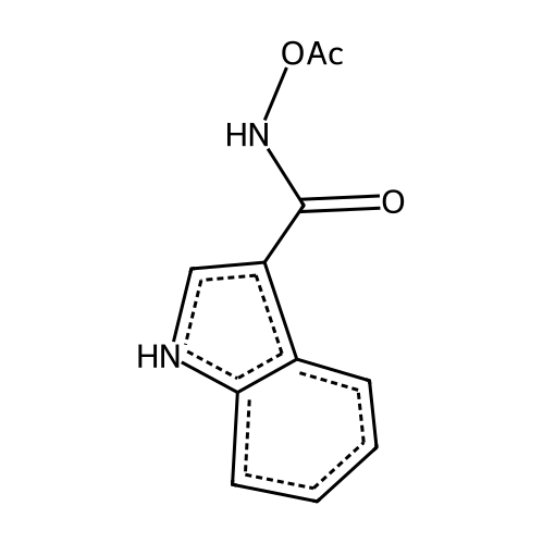 CC(=O)ONC(=O)c1c[nH]c2ccccc12